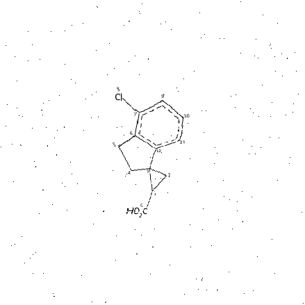 O=C(O)C1CC12CCc1c(Cl)cccc12